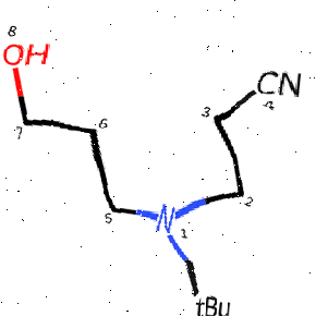 CC(C)(C)N(CCC#N)CCCO